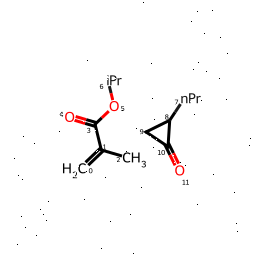 C=C(C)C(=O)OC(C)C.CCCC1CC1=O